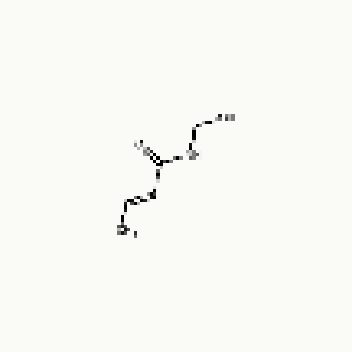 C/C=C/C(=O)N[CH]O